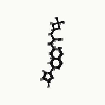 Cn1cc(-c2ccc3cnc(NC(=O)CN4CC(C)(C)C4)cc3c2)nn1